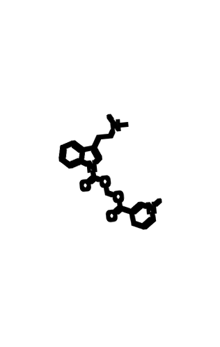 CN1C=CCC(C(=O)OCOC(=O)n2cc(CCN(C)C)c3ccccc32)=C1